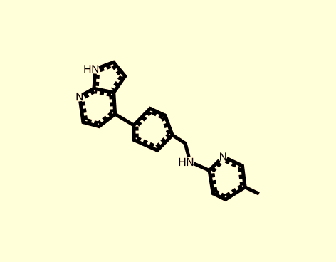 Cc1ccc(NCc2ccc(-c3ccnc4[nH]ccc34)cc2)nc1